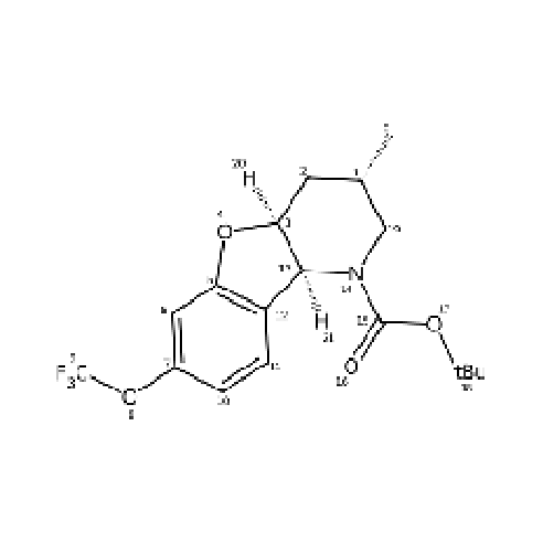 C[C@H]1C[C@@H]2Oc3cc(OC(F)(F)F)ccc3[C@@H]2N(C(=O)OC(C)(C)C)C1